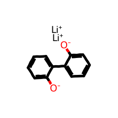 [Li+].[Li+].[O-]c1ccccc1-c1ccccc1[O-]